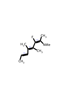 C/C=C/C(C)=C(C)/C(F)=C(/C)NC